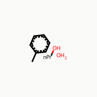 CCCO.Cc1ccccc1.O